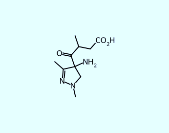 CC1=NN(C)CC1(N)C(=O)C(C)CC(=O)O